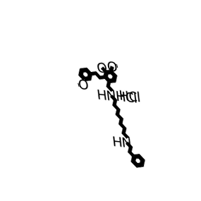 COc1cccc(CCc2c(CCNCCCCCCCCCNCCc3ccccc3)ccc(OC)c2OC)c1.Cl.Cl